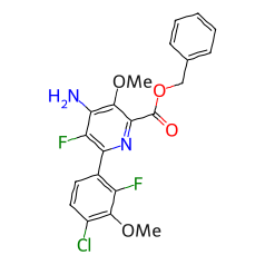 COc1c(C(=O)OCc2ccccc2)nc(-c2ccc(Cl)c(OC)c2F)c(F)c1N